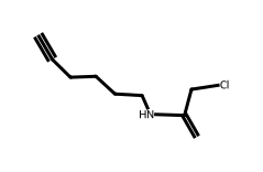 C#CCCCCNC(=C)CCl